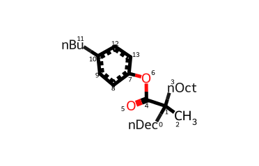 CCCCCCCCCCC(C)(CCCCCCCC)C(=O)Oc1ccc(CCCC)cc1